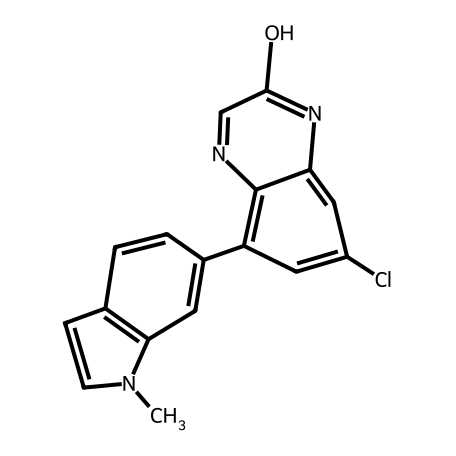 Cn1ccc2ccc(-c3cc(Cl)cc4nc(O)cnc34)cc21